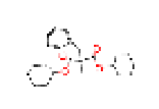 CC(Cc1ccccc1)(C(=O)OC1CCCCC1)C(=O)OC1CCCCC1